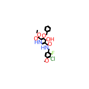 CCOC(=O)C1=C(OCc2ccccc2)C(O)C(C(=O)NCc2ccc(OC)c(Cl)c2F)=CN1